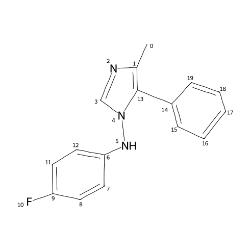 Cc1ncn(Nc2ccc(F)cc2)c1-c1ccccc1